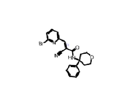 N#C/C(=C\c1cccc(Br)n1)C(=O)NC1(c2ccccc2)CCOCC1